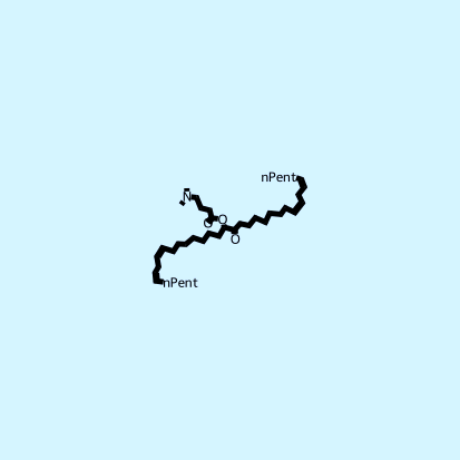 CCCCC/C=C\C/C=C\CCCCCCCC(=O)C(CCCCCCC/C=C\C/C=C\CCCCC)OC(=O)CCCN(C)C